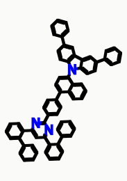 c1ccc(-c2ccc3c(c2)c2cc(-c4ccccc4)ccc2n3-c2ccc(-c3ccc(-c4nc(-c5ccccc5-c5ccccc5)cc(-c5ccccc5-c5ccccc5)n4)cc3)c3ccccc23)cc1